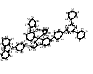 c1ccc(-c2nc(-c3ccccc3)nc(-c3ccc(-c4ccc5c(c4)C4(c6ccccc6B6c7ccccc7-c7cccc4c76)c4cc(-c6ccc(-n7c8ccccc8c8ccccc87)cc6)ccc4-5)cc3)n2)cc1